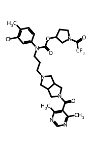 Cc1ccc(N(CCCN2CC3CN(C(=O)c4c(C)ncnc4C)CC3C2)C(=O)OC2CCN(C(=O)C(F)(F)F)C2)cc1Cl